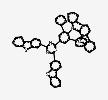 c1ccc(-c2cc(-c3nc(-c4ccc5c(c4)sc4ccccc45)nc(-c4ccc5c(c4)sc4ccccc45)n3)cc(-c3ccccc3)c2-n2c3ccccc3c3ccc4c5ccccc5oc4c32)cc1